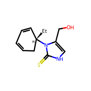 CC[C@]1(n2c(CO)c[nH]c2=S)C=CC=CC1